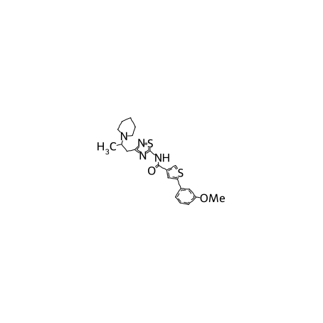 COc1cccc(-c2cc(C(=O)Nc3nc(CC(C)N4CCCCC4)ns3)cs2)c1